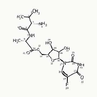 CC(C)[C@H](N)C(=O)N[C@@H](C)C(=O)OC[C@@H]1O[C@H](n2cc(F)c(=O)[nH]c2=O)C(O)C1O